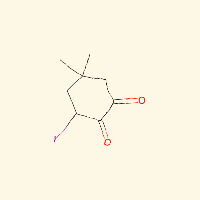 CC1(C)CC(=O)C(=O)C(I)C1